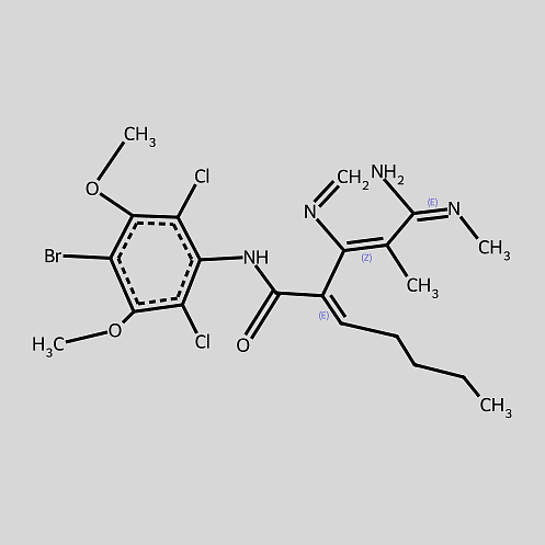 C=NC(=C(C)\C(N)=N/C)/C(=C\CCCC)C(=O)Nc1c(Cl)c(OC)c(Br)c(OC)c1Cl